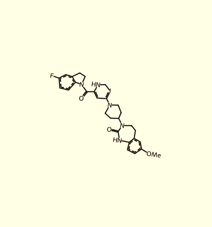 COc1ccc2c(c1)CCN(C1CCN(C3=ICNC(C(=O)N4CCc5cc(F)ccc54)=C3)CC1)C(=O)N2